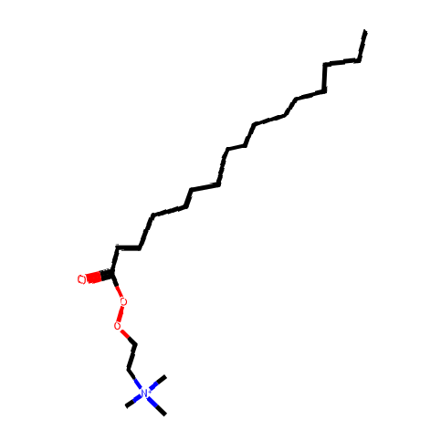 CCCCCCCCCCCCCCCC(=O)OOCC[N+](C)(C)C